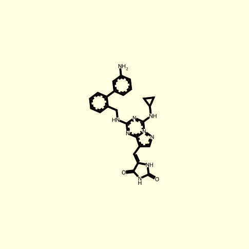 Nc1cccc(-c2ccccc2CNc2nc(NC3CC3)n3ncc(/C=C4\NC(=O)NC4=O)c3n2)c1